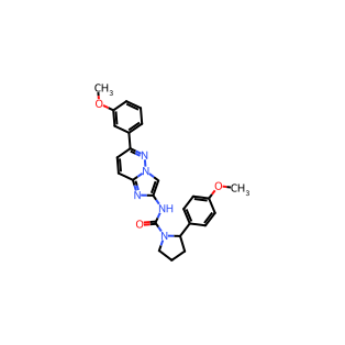 COc1ccc(C2CCCN2C(=O)Nc2cn3nc(-c4cccc(OC)c4)ccc3n2)cc1